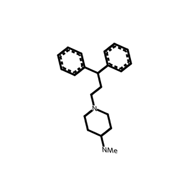 CNC1CCN(CCC(c2ccccc2)c2ccccc2)CC1